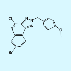 COc1ccc(Cn2nc3c(Cl)nc4cc(Br)ccc4c3n2)cc1